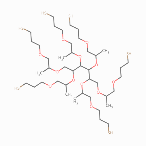 CC(COCCCS)OCC(OC(C)COCCCS)C(OC(C)COCCCS)C(OC(C)COCCCS)C(COC(C)COCCCS)OC(C)COCCCS